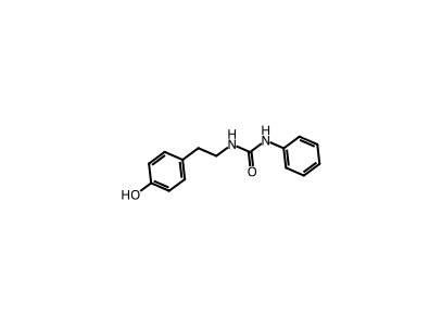 O=C(NCCc1ccc(O)cc1)Nc1ccccc1